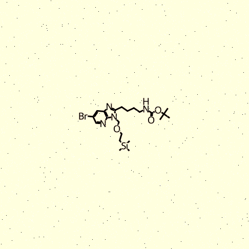 CC(C)(C)OC(=O)NCCCCc1nc2cc(Br)cnc2n1COCC[Si](C)(C)C